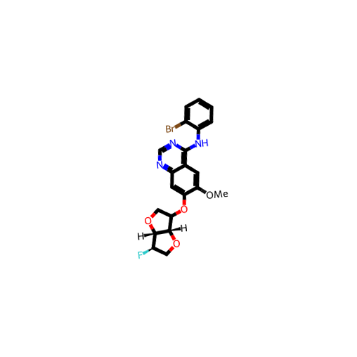 COc1cc2c(Nc3ccccc3Br)ncnc2cc1OC1CO[C@H]2[C@H](F)CO[C@@H]12